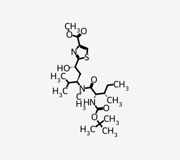 CC[C@H](C)[C@H](NC(=O)OC(C)(C)C)C(=O)N(C)[C@H](C[C@H](O)c1nc(C(=O)OC)cs1)C(C)C